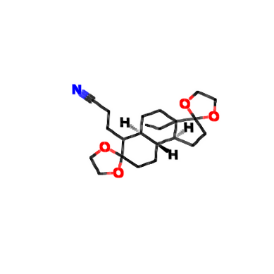 CCC12CC[C@@H]3C(CCC#N)C4(CC[C@H]3[C@@H]1CCC21OCCO1)OCCO4